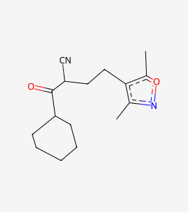 Cc1noc(C)c1CCC(C#N)C(=O)C1CCCCC1